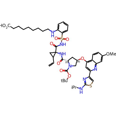 C=CC1CC1(NC(=O)[C@@H]1C[C@@H](Oc2cc(-c3csc(NC(C)C)n3)nc3cc(OC)ccc23)CN1C(=O)OC(C)(C)C)C(=O)NS(=O)(=O)c1ccccc1NCCCCCCCCC(=O)O